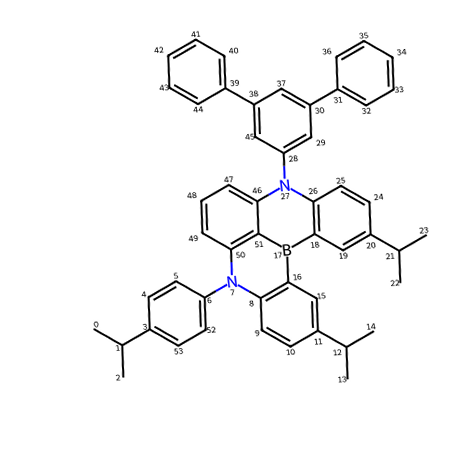 CC(C)c1ccc(N2c3ccc(C(C)C)cc3B3c4cc(C(C)C)ccc4N(c4cc(-c5ccccc5)cc(-c5ccccc5)c4)c4cccc2c43)cc1